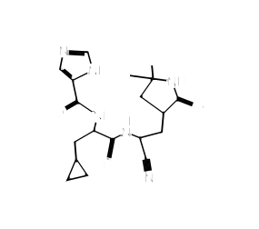 CC1(C)CC(CC(C#N)NC(=O)C(CC2CC2)NC(=O)c2cnc[nH]2)C(=O)N1